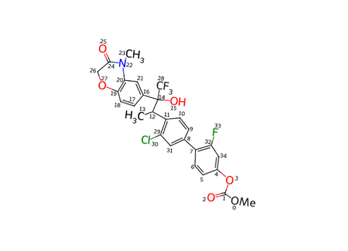 COC(=O)Oc1ccc(-c2ccc(C(C)C(O)(c3ccc4c(c3)N(C)C(=O)CO4)C(F)(F)F)c(Cl)c2)c(F)c1